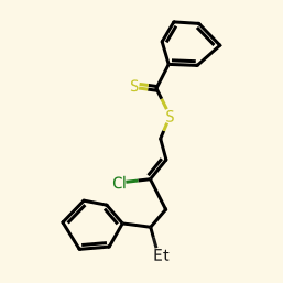 CCC(CC(Cl)=CCSC(=S)c1ccccc1)c1ccccc1